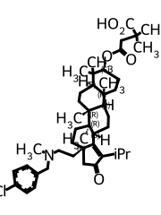 CC(C)C1=C2[C@H]3CC[C@@H]4[C@@]5(C)CC[C@H](OC(=O)CC(C)(C)C(=O)O)C(C)(C)[C@@H]5CC[C@@]4(C)[C@]3(C)CC[C@@]2(CCN(C)Cc2ccc(Cl)cc2)CC1=O